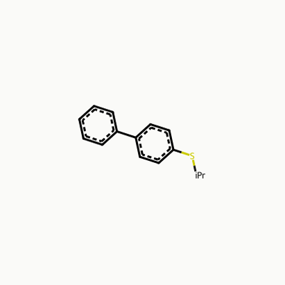 CC(C)Sc1ccc(-c2ccccc2)cc1